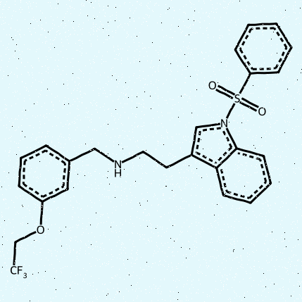 O=S(=O)(c1ccccc1)n1cc(CCNCc2cccc(OCC(F)(F)F)c2)c2ccccc21